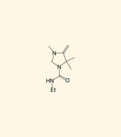 C=C1N(C)CN(C(=O)NCC)C1(C)C